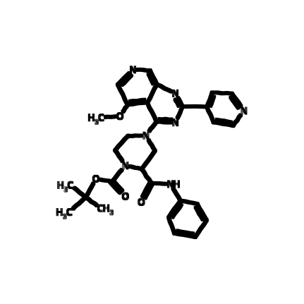 COc1cncc2nc(-c3ccncc3)nc(N3CCN(C(=O)OC(C)(C)C)C(C(=O)Nc4ccccc4)C3)c12